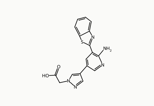 Nc1ncc(-c2cnn(CC(=O)O)c2)cc1-c1nc2ccccc2s1